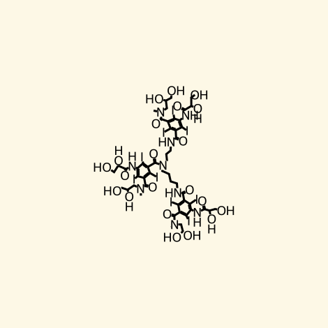 CN(CC(O)O)C(=O)c1c(I)c(NC(=O)C(O)CO)c(I)c(C(=O)NCCCCN(CCCNC(=O)c2c(I)c(NC(=O)C(O)CO)c(I)c(C(=O)N(C)CC(O)CO)c2I)C(=O)c2c(I)c(NC(=O)C(O)CO)c(I)c(C(=O)N(C)CC(O)CO)c2I)c1I